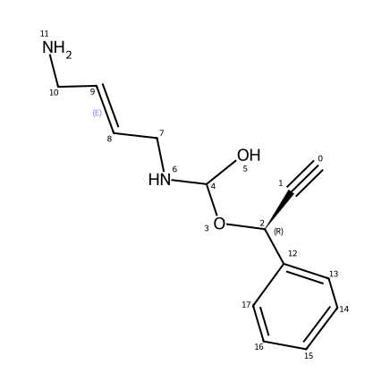 C#C[C@H](OC(O)NC/C=C/CN)c1ccccc1